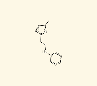 Cc1coc(CCNc2ccccc2)n1